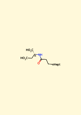 CCCCCCCCCC(=O)N[C@H](CC(=O)O)C(=O)O